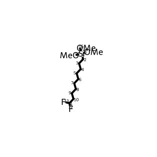 CO[Si](CCCCCCCCCC(F)F)(OC)OC